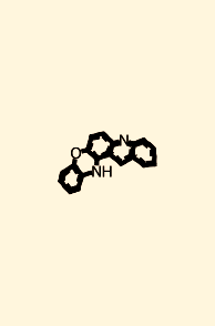 c1ccc2c(c1)Nc1c(ccc3nc4ccccc4cc13)O2